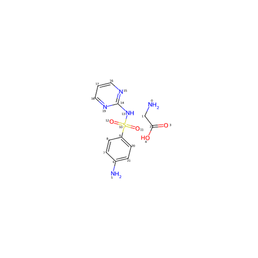 NCC(=O)O.Nc1ccc(S(=O)(=O)Nc2ncccn2)cc1